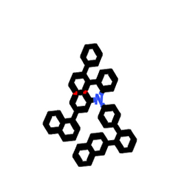 c1ccc(-c2ccccc2-c2ccccc2N(c2ccc(-c3ccccc3-c3ccc4ccccc4c3)cc2)c2cccc(-c3cccc4ccccc34)c2)cc1